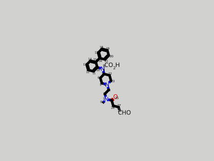 CN(CCN1CCC(N(C(=O)O)c2ccccc2-c2ccccc2)CC1)C(=O)CCC=O